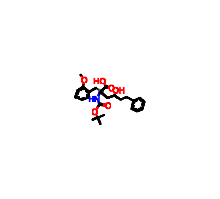 COc1ccccc1C[C@](CC(O)CCc1ccccc1)(NC(=O)OC(C)(C)C)C(=O)O